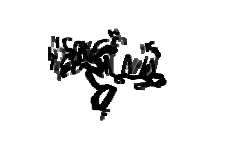 C#CCn1cc(C[C@H](N)C(=O)N2CC(C)(C)c3nc(O[Si](C)(C)C(C)(C)C)c(Cc4ccc(F)cc4)cc32)c2c(Cl)cccc21